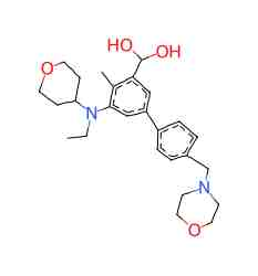 CCN(c1cc(-c2ccc(CN3CCOCC3)cc2)cc(C(O)O)c1C)C1CCOCC1